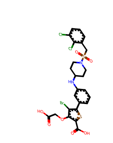 O=C(O)COc1c(C(=O)O)sc(-c2cccc(NC3CCN(S(=O)(=O)Cc4cccc(Cl)c4Cl)CC3)c2)c1Br